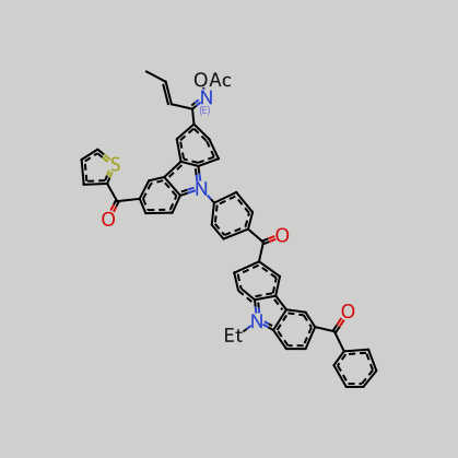 CC=C/C(=N\OC(C)=O)c1ccc2c(c1)c1cc(C(=O)c3cccs3)ccc1n2-c1ccc(C(=O)c2ccc3c(c2)c2cc(C(=O)c4ccccc4)ccc2n3CC)cc1